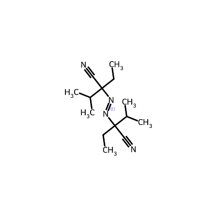 CCC(C#N)(/N=N/C(C#N)(CC)C(C)C)C(C)C